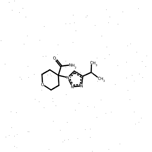 CC(C)c1cn(C2(C(N)=O)CCOCC2)nn1